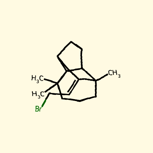 CC1(C)CCCC2(C)C(=CCBr)C3CCC2C31